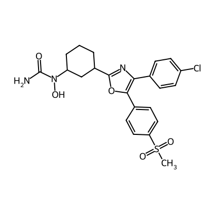 CS(=O)(=O)c1ccc(-c2oc(C3CCCC(N(O)C(N)=O)C3)nc2-c2ccc(Cl)cc2)cc1